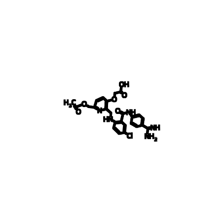 CC(=O)OCc1ccc(OCC(=O)O)c(CNc2ccc(Cl)cc2C(=O)Nc2ccc(C(=N)N)cc2)n1